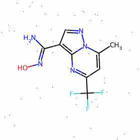 Cc1cc(C(F)(F)F)nc2c(C(N)=NO)cnn12